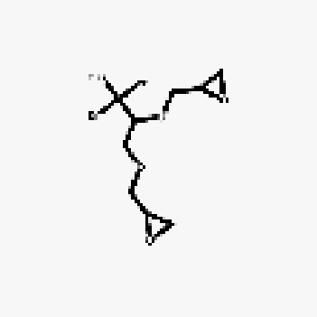 CC(C)(C)C(Br)(Br)C(COCC1CO1)OCC1CO1